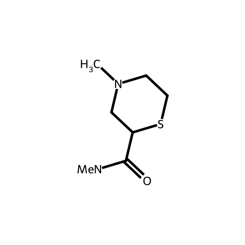 CNC(=O)C1CN(C)CCS1